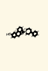 C[C@@]1(C(=O)N2CCCC(c3ccccc3)CC2)CCC[C@]2(C)c3cc(O)ccc3CC[C@@H]12